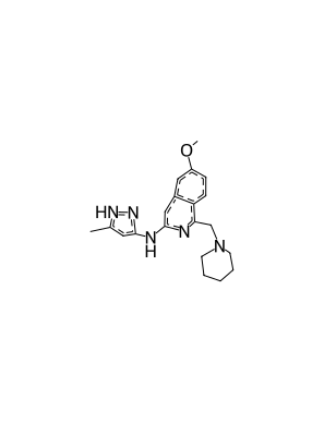 COc1ccc2c(CN3CCCCC3)nc(Nc3cc(C)[nH]n3)cc2c1